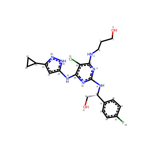 OCCCNc1nc(N[C@@H](CO)c2ccc(F)cc2)nc(Nc2cc(C3CC3)n[nH]2)c1Cl